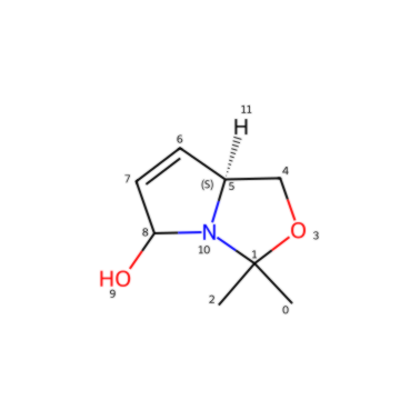 CC1(C)OC[C@@H]2C=CC(O)N21